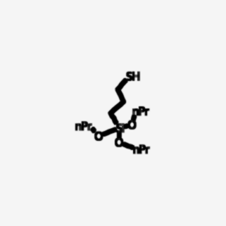 CCCO[Si](CCCS)(OCCC)OCCC